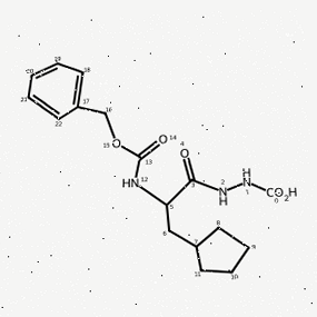 O=C(O)NNC(=O)C(CC1CCCC1)NC(=O)OCc1ccccc1